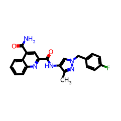 Cc1nn(Cc2ccc(F)cc2)cc1NC(=O)c1cc(C(N)=O)c2ccccc2n1